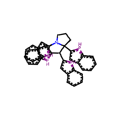 c1ccc2[pH]c(C(c3cc4ccccc4[pH]3)C3(c4cc5ccccc5[pH]4)CCCN3c3cc4ccccc4[pH]3)cc2c1